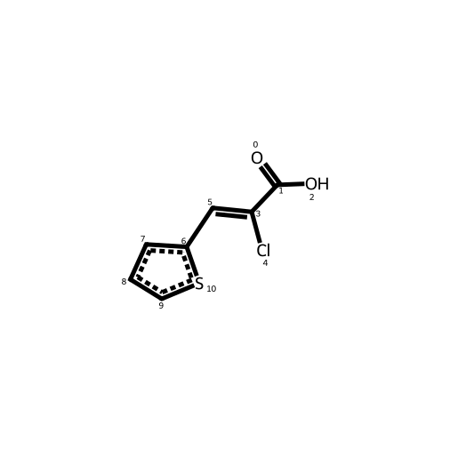 O=C(O)C(Cl)=Cc1cccs1